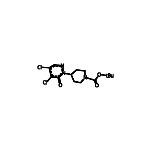 CC(C)(C)OC(=O)N1CCC(n2ncc(Cl)c(Cl)c2=O)CC1